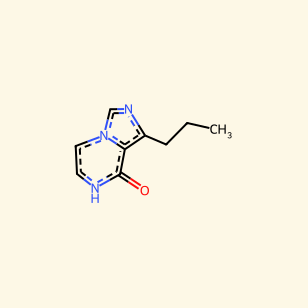 CCCc1ncn2cc[nH]c(=O)c12